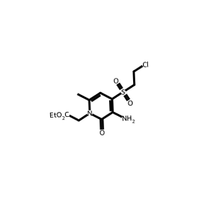 CCOC(=O)Cn1c(C)cc(S(=O)(=O)CCCl)c(N)c1=O